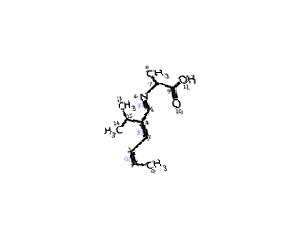 C\C=C/C=C(/C=N/C(C)C(=O)O)C(C)C